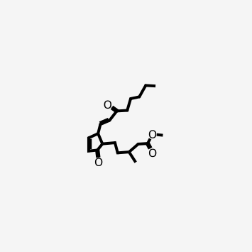 CCCCCC(=O)C=CC1C=CC(=O)C1CCC(C)CC(=O)OC